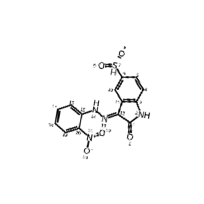 O=C1Nc2ccc([SH](=O)=O)cc2/C1=N\Nc1ccccc1[N+](=O)[O-]